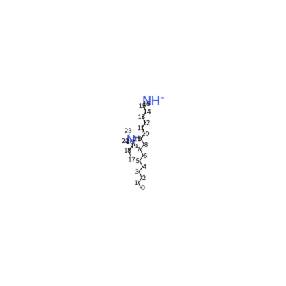 CCCCCCCCCCCCCCCC[NH-].CCC[N+](C)(C)C